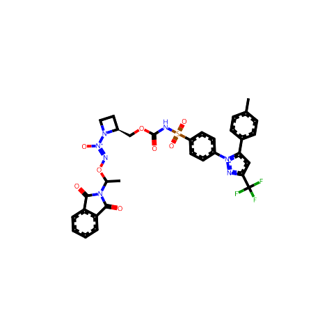 Cc1ccc(-c2cc(C(F)(F)F)nn2-c2ccc(S(=O)(=O)NC(=O)OC[C@@H]3CCN3/[N+]([O-])=N/OC(C)N3C(=O)c4ccccc4C3=O)cc2)cc1